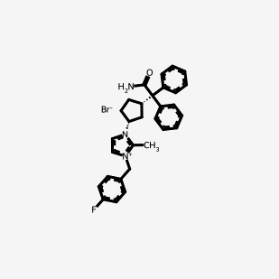 Cc1n([C@@H]2CC[C@H](C(C(N)=O)(c3ccccc3)c3ccccc3)C2)cc[n+]1Cc1ccc(F)cc1.[Br-]